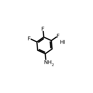 I.Nc1cc(F)c(F)c(F)c1